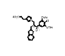 COc1cc([C@@H](O)[C@@H](CC2Cc3ccccc3C2)Cn2ccc(CCC(=O)O)c2)cc(OC)c1Cl